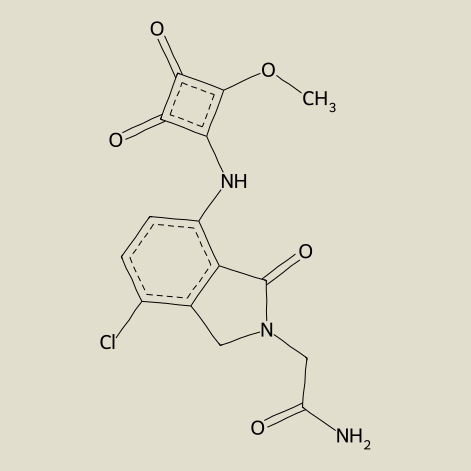 COc1c(Nc2ccc(Cl)c3c2C(=O)N(CC(N)=O)C3)c(=O)c1=O